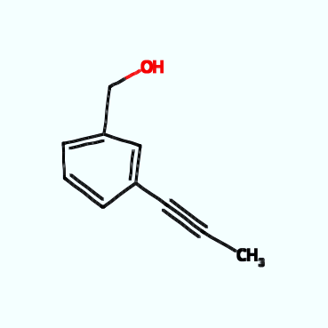 CC#Cc1cccc(CO)c1